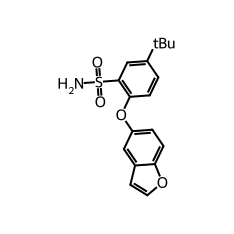 CC(C)(C)c1ccc(Oc2ccc3occc3c2)c(S(N)(=O)=O)c1